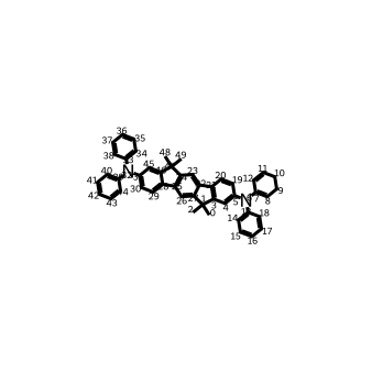 CC1(C)c2cc(N(C3=CCCC=C3)c3ccccc3)ccc2-c2cc3c(cc21)-c1ccc(N(c2ccccc2)c2ccccc2)cc1C3(C)C